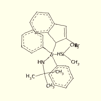 C[SiH](C)[Zr]([NH]C(C)(C)C)([c]1ccccc1)([c]1ccccc1)[CH]1C(Br)=Cc2ccccc21